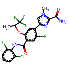 CC(Oc1cc(-c2cn(C)c(C(N)=O)n2)c(F)cc1C(=O)Nc1c(F)cccc1Cl)C(F)(F)F